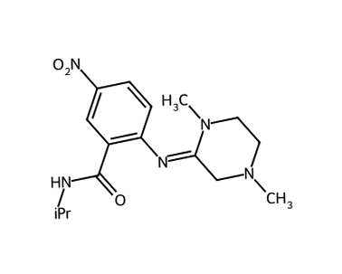 CC(C)NC(=O)c1cc([N+](=O)[O-])ccc1N=C1CN(C)CCN1C